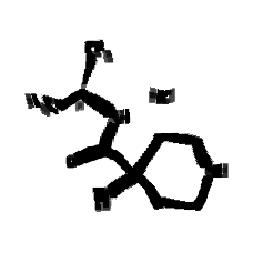 CCC1(C(=O)N[C@H](C)C(F)(F)F)CCNCC1.Cl